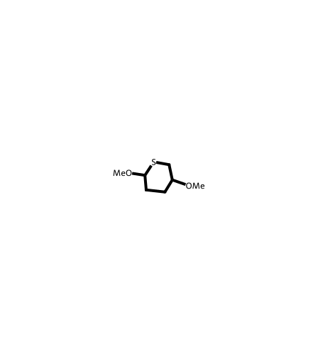 COC1CCC(OC)SC1